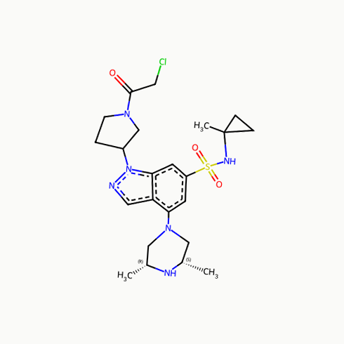 C[C@@H]1CN(c2cc(S(=O)(=O)NC3(C)CC3)cc3c2cnn3C2CCN(C(=O)CCl)C2)C[C@H](C)N1